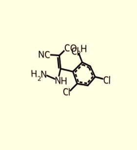 N#CC(C(=O)O)=C(NN)c1c(Cl)cc(Cl)cc1Cl